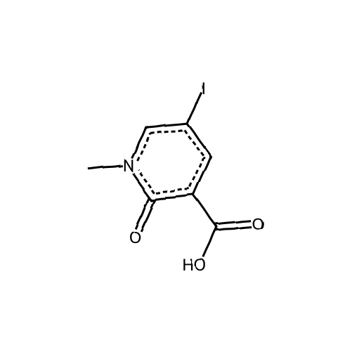 Cn1cc(I)cc(C(=O)O)c1=O